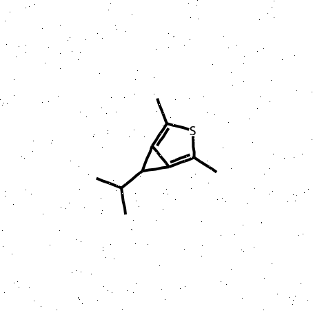 Cc1sc(C)c2c1C2C(C)C